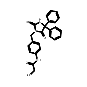 CC(C)CC(=O)Nc1ccc(CN2C(=N)NC(c3ccccc3)(c3ccccc3)C2=O)cc1